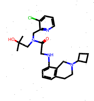 CC(C)(O)CN(Cc1ncccc1Cl)C(=O)CNc1cccc2c1CN(C1CCC1)CC2